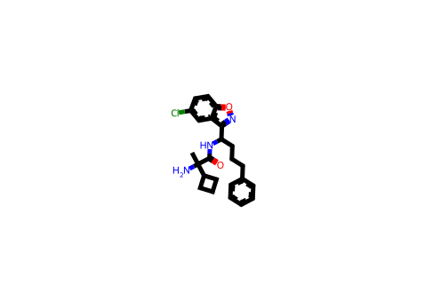 CC(N)(C(=O)NC(CCCc1ccccc1)c1noc2ccc(Cl)cc12)C1CCC1